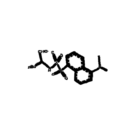 CCCCC([C]=O)NS(=O)(=O)S(=O)(=O)c1cccc2c(N(C)C)cccc12